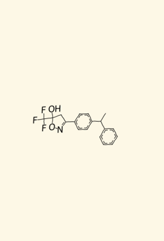 CC(c1ccccc1)c1ccc(C2=NOC(O)(C(F)(F)F)C2)cc1